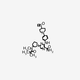 CN(C)C(=O)N(C)[C@@H]1CCCN(c2cnc(C(N)=O)c(Nc3ccc(N4CCC([SH](=O)=O)CC4)cc3)n2)C1